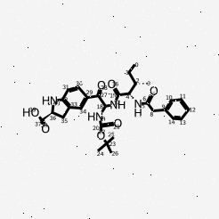 CC[C@H](C)[C@H](NC(=O)Cc1ccccc1)C(=O)NC(NC(=O)OC(C)(C)C)C(=O)c1ccc2c(c1)C[C@@H](C(=O)O)N2